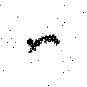 CCOC(=O)C(C)(Cc1ccc(OCCC2CN(Cc3ccc(OC(F)(F)F)cc3)C(=O)N2C)cc1)Oc1ccccc1